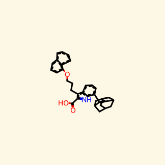 O=C(O)c1[nH]c2c(C3=CC4CC5CC(C4)CC3C5)cccc2c1CCCOc1cccc2ccccc12